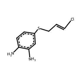 Nc1ccc(SCC=CCl)cc1N